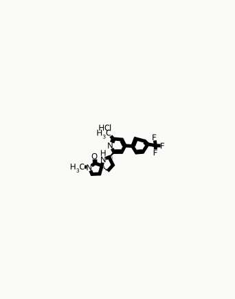 Cc1cc(-c2ccc(C(F)(F)F)cc2)cc([C@H]2CC[C@@]3(CCN(C)C3=O)N2)n1.Cl